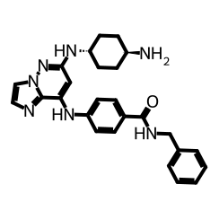 N[C@H]1CC[C@H](Nc2cc(Nc3ccc(C(=O)NCc4ccccc4)cc3)c3nccn3n2)CC1